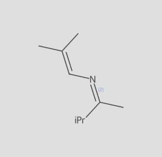 CC(C)=C/N=C(/C)C(C)C